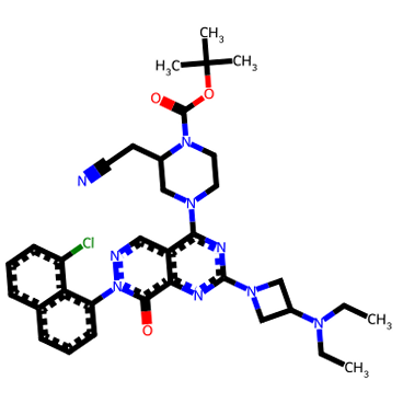 CCN(CC)C1CN(c2nc(N3CCN(C(=O)OC(C)(C)C)C(CC#N)C3)c3cnn(-c4cccc5cccc(Cl)c45)c(=O)c3n2)C1